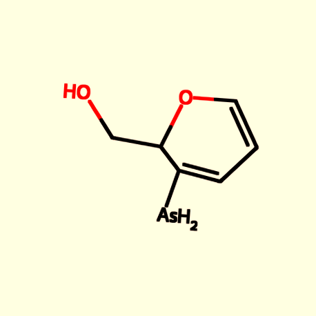 OCC1OC=CC=C1[AsH2]